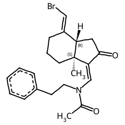 CC(=O)N(C=C1C(=O)C[C@H]2C(=CBr)CCC[C@]12C)CCc1ccccc1